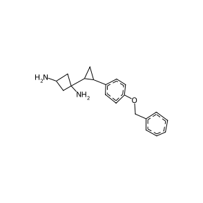 NC1CC(N)(C2CC2c2ccc(OCc3ccccc3)cc2)C1